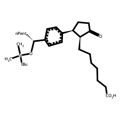 CCCCC[C@@H](O[Si](C)(C)C(C)(C)C)c1ccc([C@H]2CCC(=O)[C@H]2CCCCCCC(=O)O)cc1